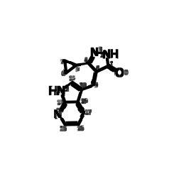 O=C1NN=C(C2CC2)C1=Cc1c[nH]c2ncccc12